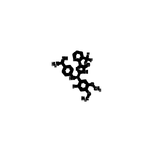 COc1cc(F)c(C(Nc2ccc(C(=N)N)cc2)c2nn(-c3ncccc3C(F)(F)F)c(=O)[nH]2)cc1OC